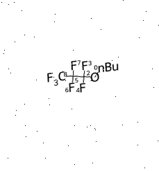 CCCCOC(F)(F)C(F)(F)C(F)(F)F